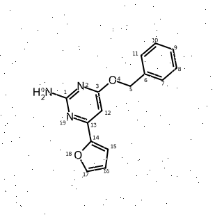 Nc1nc(OCc2ccccc2)cc(-c2ccco2)n1